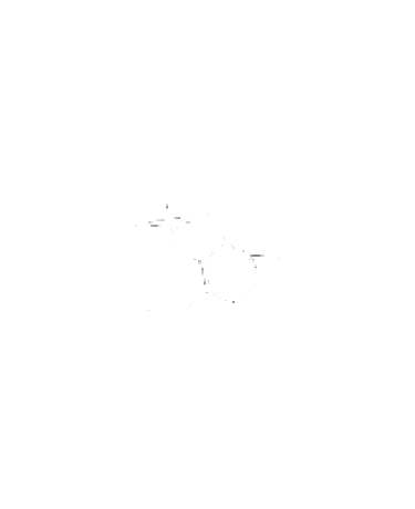 CCOC(=O)C1=C(OS(=O)(=O)C(F)(F)F)C[C@](C)(C(F)(F)F)OC1